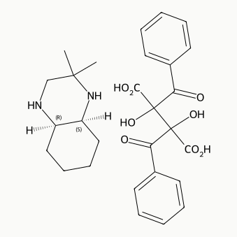 CC1(C)CN[C@@H]2CCCC[C@@H]2N1.O=C(O)C(O)(C(=O)c1ccccc1)C(O)(C(=O)O)C(=O)c1ccccc1